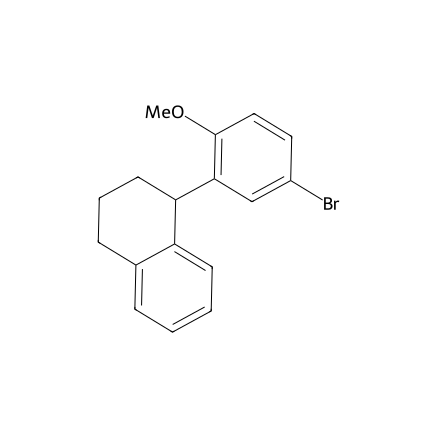 COc1ccc(Br)cc1C1CCCc2ccccc21